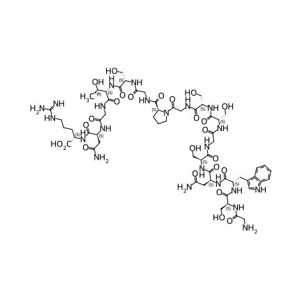 C[C@@H](O)[C@H](NC(=O)[C@H](CO)NC(=O)CNC(=O)[C@@H]1CCCN1C(=O)CNC(=O)[C@H](CO)NC(=O)[C@H](CO)NC(=O)CNC(=O)[C@H](CO)NC(=O)[C@H](CC(N)=O)NC(=O)[C@H](Cc1c[nH]c2ccccc12)NC(=O)[C@H](CO)NC(=O)CN)C(=O)NCC(=O)N[C@@H](CC(N)=O)C(=O)N[C@@H](CCCNC(=N)N)C(=O)O